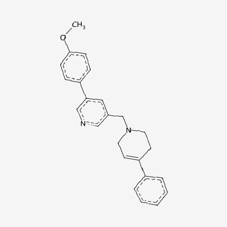 COc1ccc(-c2cncc(CN3CC=C(c4ccccc4)CC3)c2)cc1